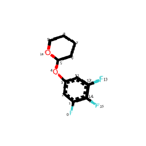 Fc1cc(OC2CCCCO2)cc(F)c1F